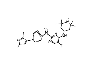 Cc1nn(C)cc1-c1ccc(Nc2ncc(F)c(NC3CC(C)(C)N(C)C(C)(C)C3)n2)cc1